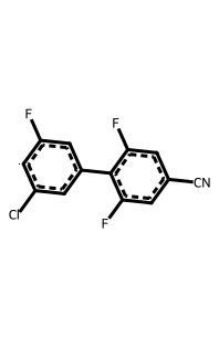 N#Cc1cc(F)c(-c2cc(F)[c]c(Cl)c2)c(F)c1